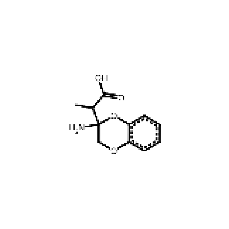 CC(C(=O)O)C1(N)COc2ccccc2O1